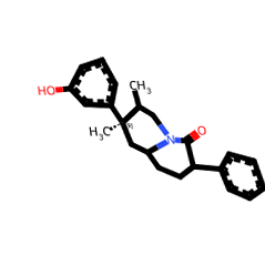 CC1CN2C(=O)C(c3ccccc3)CCC2C[C@@]1(C)c1cccc(O)c1